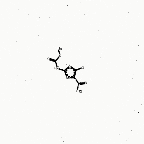 CC(C)(C)OC(=O)Nc1nc(C(=O)C=O)c(Cl)s1